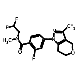 CN(CC(F)F)C(=O)c1ccc(-n2nc(C(F)(F)F)c3c2CCOC3)cc1F